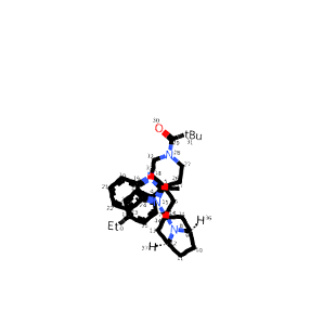 CCc1ccc(C2(CCN3[C@@H]4CC[C@H]3CC(n3c(C)nc5ccccc53)C4)CCN(C(=O)C(C)(C)C)CC2)cc1